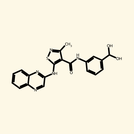 Cc1nsc(Nc2cnc3ccccc3n2)c1C(=O)Nc1cccc(C(O)O)c1